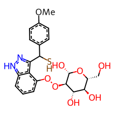 COc1ccc(C(S)c2n[nH]c3cccc(OO[C@@H]4[C@@H](O)[C@H](O)[C@@H](CO)O[C@H]4O)c23)cc1